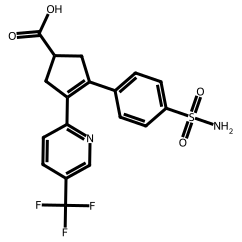 NS(=O)(=O)c1ccc(C2=C(c3ccc(C(F)(F)F)cn3)CC(C(=O)O)C2)cc1